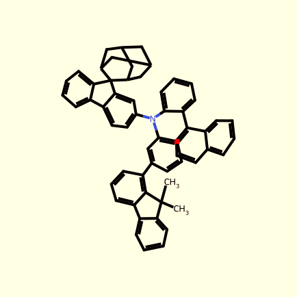 CC1(C)c2ccccc2-c2cccc(-c3cccc(N(c4ccc5c(c4)C4(c6ccccc6-5)C5CC6CC(C5)CC4C6)c4ccccc4-c4cccc5ccccc45)c3)c21